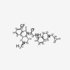 CN1CCC(N(Cc2ccccc2C(F)(F)F)C(=O)CNc2cccc3c2CCN(CC2CC2)C3)CC1